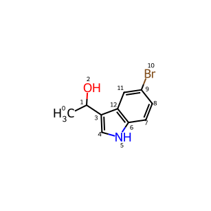 CC(O)c1c[nH]c2ccc(Br)cc12